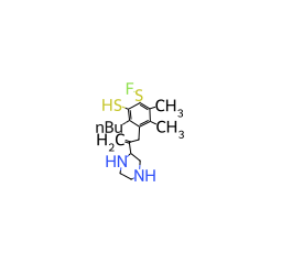 C=C(Cc1c(C)c(C)c(SF)c(S)c1CCCC)C1CNCCN1